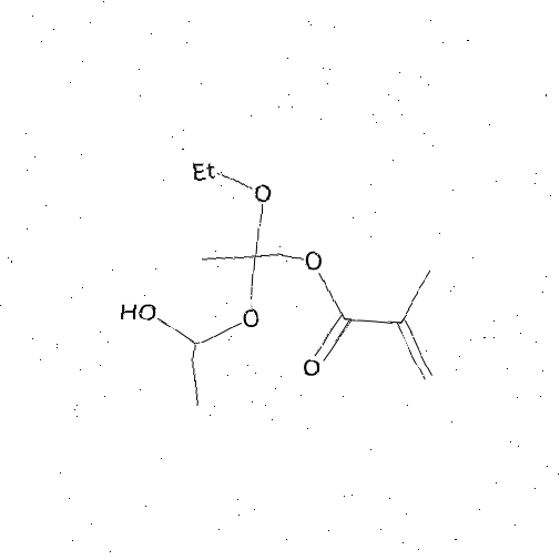 C=C(C)C(=O)OC(C)(OCC)OC(C)O